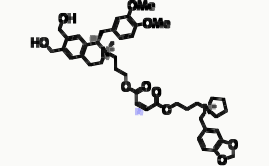 COc1ccc(C[C@@H]2c3cc(CO)c(CO)cc3CC[N@@+]2(C)CCCOC(=O)/C=C\C(=O)OCCC[N+]2(Cc3ccc4c(c3)OCO4)CCCC2)cc1OC